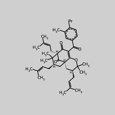 CC(C)=CC[C@H]1C[C@@]23C[C@@H](CC=C(C)C)C(C)(C)[C@@](CC=C(C)C)(C(=O)C(C(=O)c4ccc(C(C)C)c(C)c4)=C2OC1(C)C)C3=O